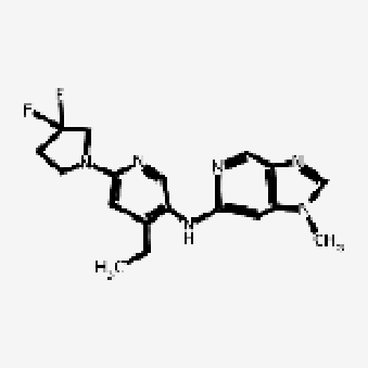 CCc1cc(N2CCC(F)(F)C2)ncc1Nc1cc2c(cn1)ncn2C